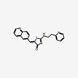 O=C1N=C(NCCc2ccccn2)S/C1=C\c1ccc2ncccc2c1